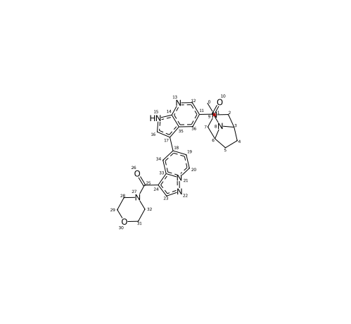 CN1CC2CCC(C1)N2C(=O)c1cnc2[nH]cc(-c3ccn4ncc(C(=O)N5CCOCC5)c4c3)c2c1